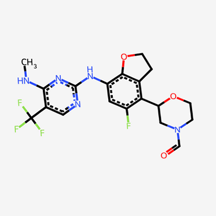 CNc1nc(Nc2cc(F)c(C3CN(C=O)CCO3)c3c2OCC3)ncc1C(F)(F)F